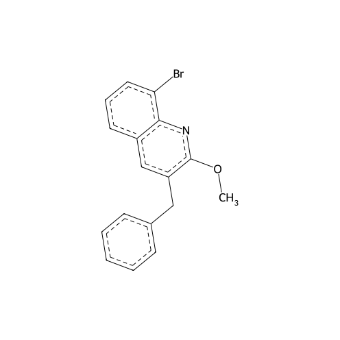 COc1nc2c(Br)cccc2cc1Cc1ccccc1